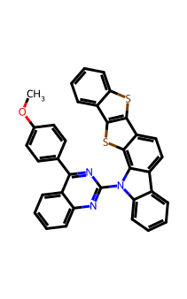 COc1ccc(-c2nc(-n3c4ccccc4c4ccc5c6sc7ccccc7c6sc5c43)nc3ccccc23)cc1